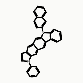 c1ccc(-n2ccc3cc4cc5c(cc4cc32)c2ccccc2n5-c2ccc3ccccc3c2)cc1